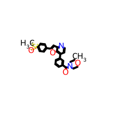 CC1CN(C(=O)c2cccc(-c3ccnc4cc(-c5ccc([S+](C)[O-])cc5)oc34)c2)CCO1